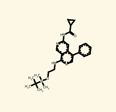 CC(C)(C)[Si](C)(C)OCCNc1ncc(-c2ccccc2)c2cc(NC(=O)C3CC3)ncc12